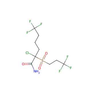 NC(=O)C(Cl)(CCCC(F)(F)F)S(=O)(=O)CCC(F)(F)F